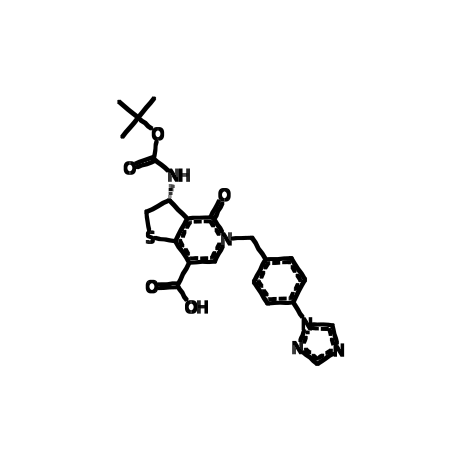 CC(C)(C)OC(=O)N[C@H]1CSc2c(C(=O)O)cn(Cc3ccc(-n4cncn4)cc3)c(=O)c21